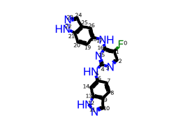 Fc1cnc(Nc2ccc3cn[nH]c3c2)nc1Nc1ccc2[nH]ncc2c1